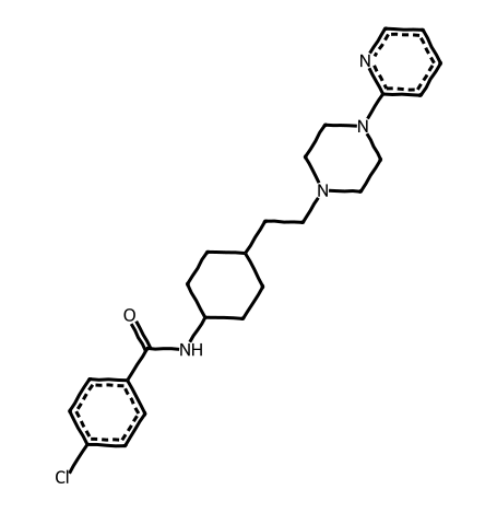 O=C(NC1CCC(CCN2CCN(c3ccccn3)CC2)CC1)c1ccc(Cl)cc1